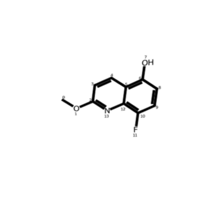 COc1ccc2c(O)ccc(F)c2n1